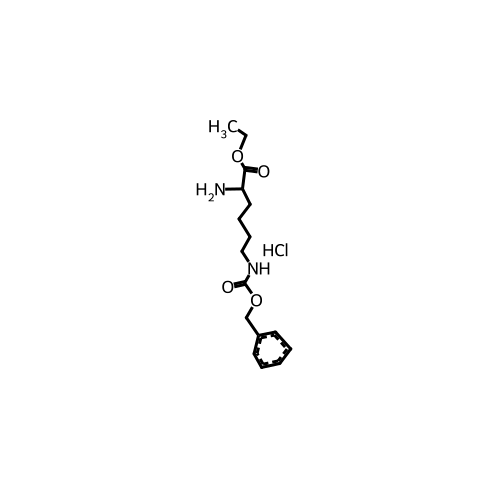 CCOC(=O)C(N)CCCCNC(=O)OCc1ccccc1.Cl